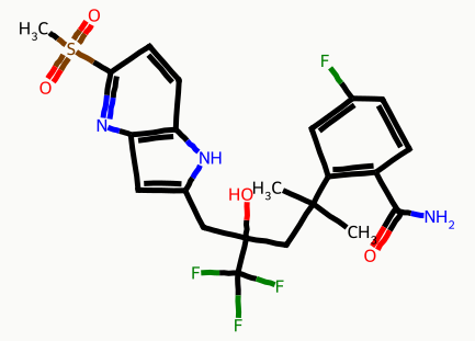 CC(C)(CC(O)(Cc1cc2nc(S(C)(=O)=O)ccc2[nH]1)C(F)(F)F)c1cc(F)ccc1C(N)=O